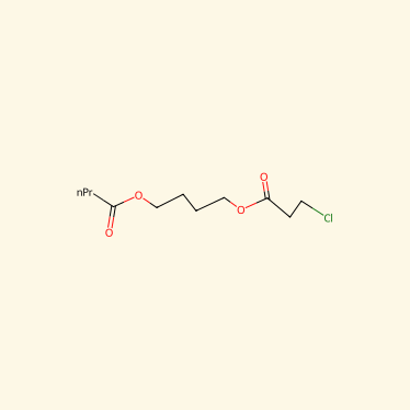 CCCC(=O)OCCCCOC(=O)CCCl